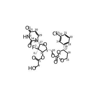 C[C@@]1(F)[C@H](OC(=O)CO)[C@@H](COP2(=O)OCC[C@@H](c3cccc(Cl)c3)O2)O[C@H]1n1ccc(=O)[nH]c1=O